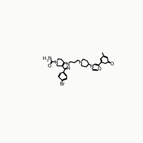 CC1=CC(=O)CC(C2=CN(C3CCN(CCCn4nc(-c5ccc(Br)cc5)c5c4CCN(C(N)=O)C5)CC3)C=CO2)=C1